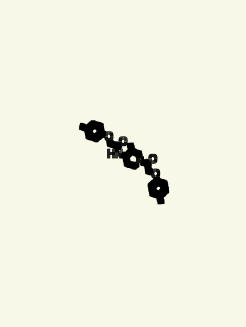 Cc1ccc(OCC(=O)NC2CCN(C(=O)COc3ccc(C)cc3)CC2C)cc1